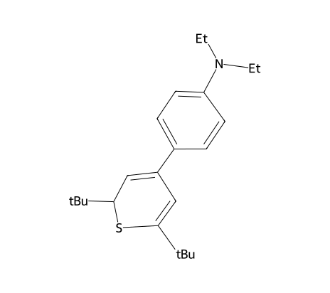 CCN(CC)c1ccc(C2=CC(C(C)(C)C)SC(C(C)(C)C)=C2)cc1